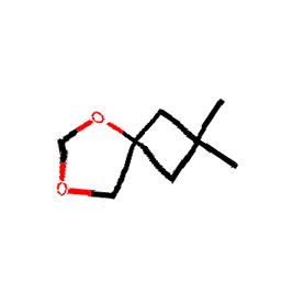 CC1(C)CC2(COCO2)C1